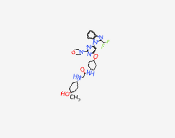 C[C@]1(O)CC[C@@H](NCC(=O)N[C@H]2CC[C@H](Oc3cc(-n4c(C(F)F)nc5ccccc54)nc(N4CCOCC4)n3)CC2)CC1